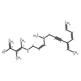 C=C/C=C\C(C#CCN(C)/C=C\CS/C(C)=C(\C)C(=C)CC)=C/C